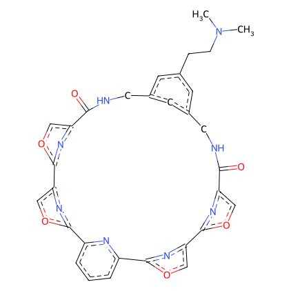 CN(C)CCc1cc2cc(c1)CNC(=O)c1coc(n1)-c1coc(n1)-c1cccc(n1)-c1nc(co1)-c1nc(co1)C(=O)NC2